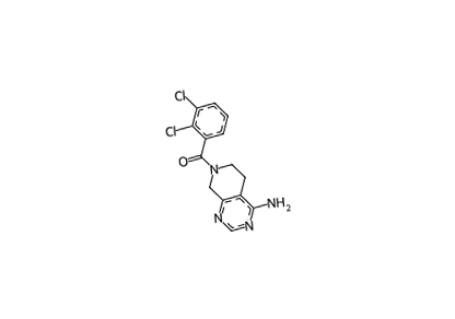 Nc1ncnc2c1CCN(C(=O)c1cccc(Cl)c1Cl)C2